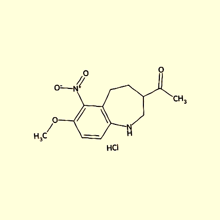 COc1ccc2c(c1[N+](=O)[O-])CCC(C(C)=O)CN2.Cl